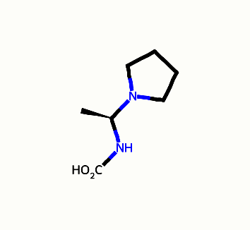 C[C@H](NC(=O)O)N1CCCC1